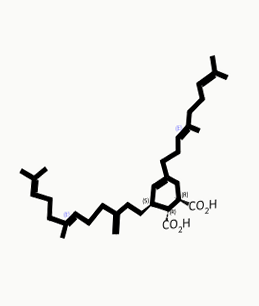 C=C(CC/C=C(\C)CCC=C(C)C)CC[C@H]1C=C(CC/C=C(\C)CCC=C(C)C)C[C@@H](C(=O)O)[C@@H]1C(=O)O